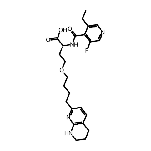 CCc1cncc(F)c1C(=O)N[C@@H](CCOCCCCc1ccc2c(n1)NCCC2)C(=O)O